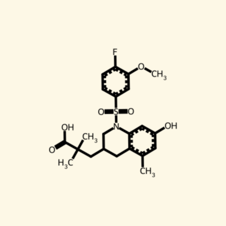 COc1cc(S(=O)(=O)N2CC(CC(C)(C)C(=O)O)Cc3c(C)cc(O)cc32)ccc1F